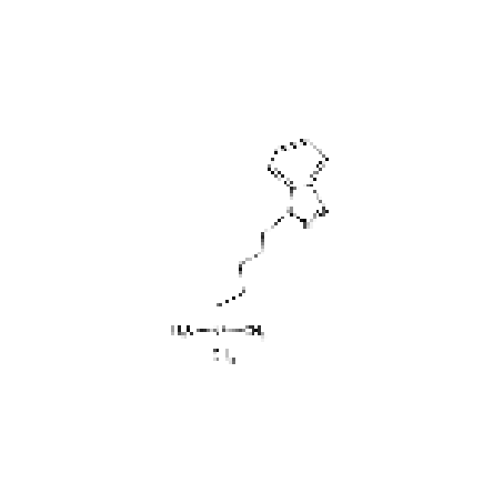 C[N+](C)(C)CCCCCn1nnc2ccccc21